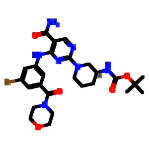 CC(C)(C)OC(=O)N[C@H]1CCCN(c2ncc(C(N)=O)c(Nc3cc(Br)cc(C(=O)N4CCOCC4)c3)n2)C1